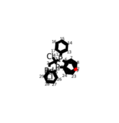 [Cl][Pd][CH2]C(Cl)(P(c1ccccc1)c1ccccc1)P(c1ccccc1)c1ccccc1